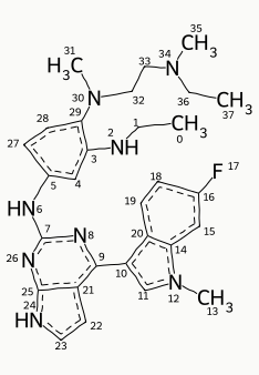 CCNc1cc(Nc2nc(-c3cn(C)c4cc(F)ccc34)c3cc[nH]c3n2)ccc1N(C)CCN(C)CC